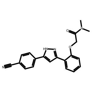 CN(C)C(=O)COc1ccccc1-c1cc(-c2ccc(C#N)cc2)[nH]n1